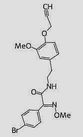 C#CCOc1ccc(CCNC(=O)C(=NOC)c2ccc(Br)cc2)cc1OC